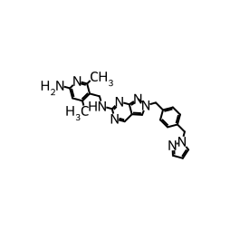 Cc1cc(N)nc(C)c1CNc1ncc2cn(Cc3ccc(Cn4cccn4)cc3)nc2n1